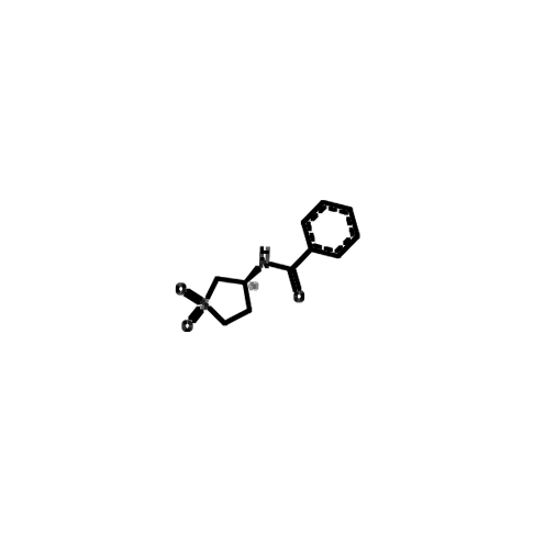 O=C(N[C@H]1CCS(=O)(=O)C1)c1ccccc1